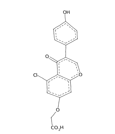 O=C(O)COc1cc(Cl)c2c(=O)c(-c3ccc(O)cc3)coc2c1